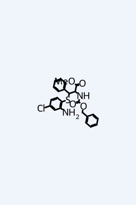 COC(=O)C(NC(=O)OCc1ccccc1)C(Sc1ccc(Cl)cc1N)c1ccccc1